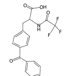 O=C(c1ccccc1)c1ccc(CC(NC(=O)C(F)(F)F)C(=O)O)cc1